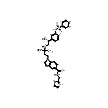 CC(C)(CCn1ccc2cc(C(=O)NCc3nccs3)ccc21)NC[C@H](O)c1cccc(NS(=O)(=O)c2ccccc2)c1